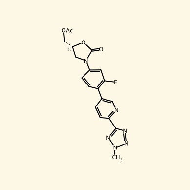 CC(=O)OC[C@H]1CN(c2ccc(-c3ccc(-c4nnn(C)n4)nc3)c(F)c2)C(=O)O1